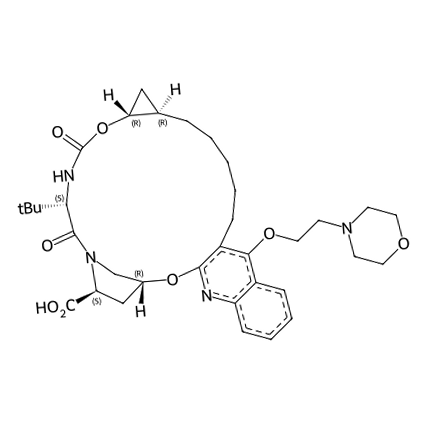 CC(C)(C)[C@@H]1NC(=O)O[C@@H]2C[C@H]2CCCCCc2c(nc3ccccc3c2OCCN2CCOCC2)O[C@@H]2C[C@@H](C(=O)O)N(C2)C1=O